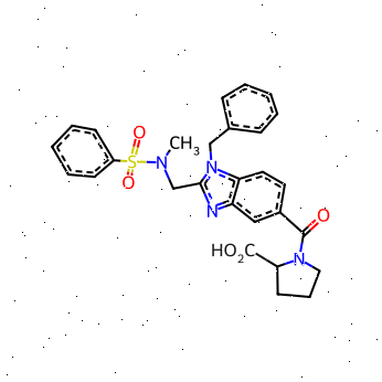 CN(Cc1nc2cc(C(=O)N3CCCC3C(=O)O)ccc2n1Cc1ccccc1)S(=O)(=O)c1ccccc1